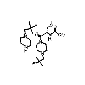 CC(C)(F)CN1CCNCC1.COC[C@H](NC(=O)O)C(=O)N1CCN(CC(C)(C)F)CC1